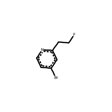 FCCc1cc(Br)ccn1